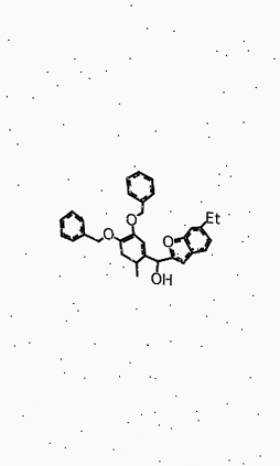 CCc1ccc2cc(C(O)C3=CC(OCc4ccccc4)=C(OCc4ccccc4)CC3C)oc2c1